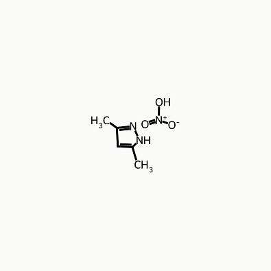 Cc1cc(C)[nH]n1.O=[N+]([O-])O